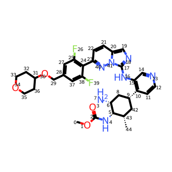 COC(=O)N[C@@H]1[C@H](N)C[C@H](c2ccncc2Nc2ncc3ccc(-c4c(F)cc(COC5CCOCC5)cc4F)nn23)C[C@@H]1C